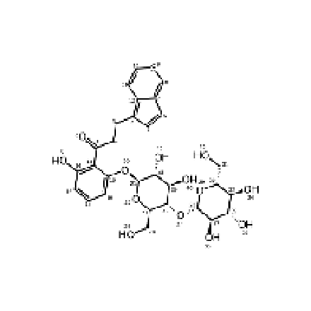 O=C(CCc1ccc2csccc1-2)c1c(O)cccc1O[C@@H]1O[C@H](CO)[C@@H](O[C@@H]2O[C@H](CO)[C@@H](O)[C@H](O)[C@H]2O)[C@H](O)[C@H]1O